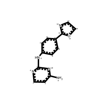 Nc1ccnc(Nc2ccc(-c3ncco3)cc2)n1